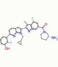 Cc1c(-c2cc3ccc(-c4cccc(O)c4F)nc3n2CC2CC2)nn2cc(C(=O)N3CCC[C@@H](N)C3)cc(F)c12